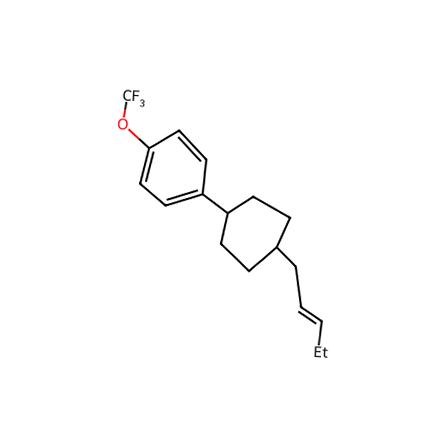 CCC=CCC1CCC(c2ccc(OC(F)(F)F)cc2)CC1